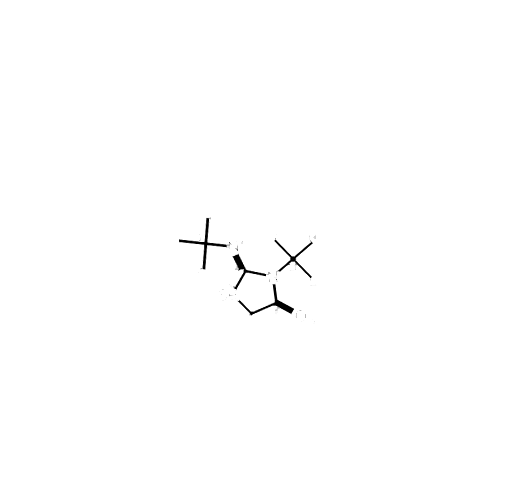 CC(C)(C)/N=C1\[Se]CC(=O)N1C(C)(C)C